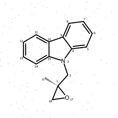 C[C@@]1(Cn2c3ccccc3c3ccccc32)CO1